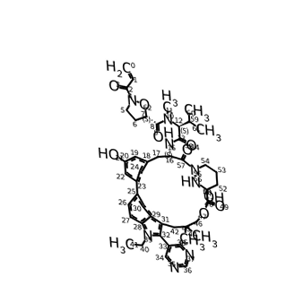 C=CC(=O)N1CC[C@@H](C(=O)N(C)[C@H](C(=O)N[C@H]2Cc3cc(O)cc(c3)-c3ccc4c(c3)c(c(-c3cncnc3)n4CC)CC(C)(C)COC(=O)[C@@]3(O)CCCN(N3)C2=O)C(C)C)O1